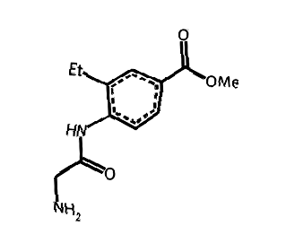 CCc1cc(C(=O)OC)ccc1NC(=O)CN